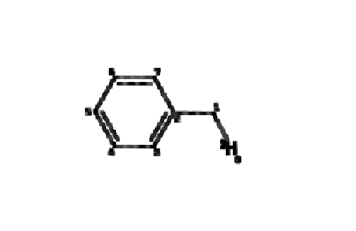 [2H]Cc1ccccc1